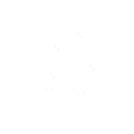 CNN1CN=C(N)C(N)=C1N